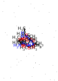 C/C=C/C[C@@H](C)[C@H]1ON(C(=O)[C@H](C(C)C)N(C)C(=O)[C@@H]2CC(C)N(C(=O)[C@H](C)NC(=O)[C@H](CC(C)C)N(C)C(=O)[C@@H](N)C(C)C)[C@H](C)C(=O)N(C)[C@@H](CC(C)C)C(=O)N2C)[C@@H]1C(=O)N[C@@H](CC)C(=O)OC